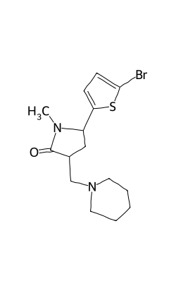 CN1C(=O)C(CN2CCCCC2)CC1c1ccc(Br)s1